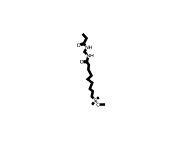 CCC(=O)NCNC(=O)CCCCCCCC[Si](C)(C)OC